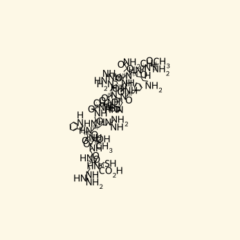 CC[C@H](C)[C@H](NC(=O)[C@H](CC(N)=O)NC(=O)[C@H](Cc1c[nH]cn1)NC(=O)[C@H](Cc1ccccc1)NC(=O)[C@H](CCCNC(=N)N)NC(=O)[C@H](CCC(N)=O)NC(=O)[C@H](CCCCN)NC(=O)[C@H](C)NC(=O)[C@H](C)N)C(=O)N[C@@H](C)C(=O)NCC(=O)N[C@@H](CCCNC(=N)N)C(=O)N[C@@H](Cc1c[nH]c2ccccc12)C(=O)N[C@H](C(=O)NCC(=O)N[C@@H](CCCNC(=N)N)C(=O)N[C@@H](CS)C(=O)O)[C@@H](C)O